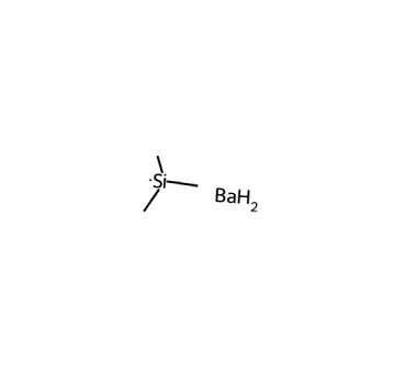 C[Si](C)C.[BaH2]